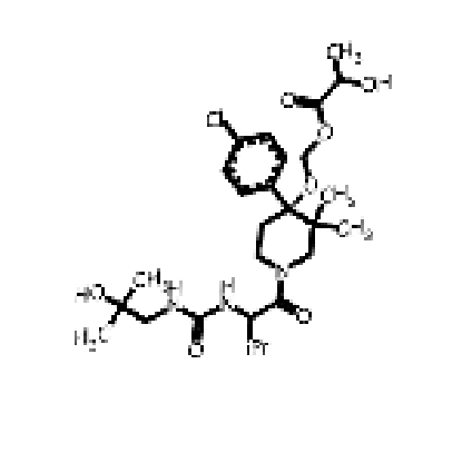 CC(O)C(=O)OCO[C@]1(c2ccc(Cl)cc2)CCN(C(=O)C(NC(=O)NCC(C)(C)O)C(C)C)CC1(C)C